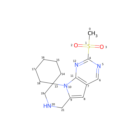 CS(=O)(=O)c1ncc2cc3n(c2n1)C1(CCCCC1)CNC3